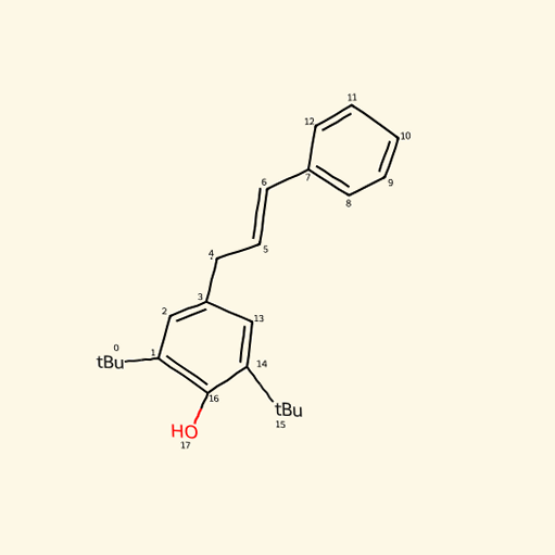 CC(C)(C)c1cc([CH]C=Cc2ccccc2)cc(C(C)(C)C)c1O